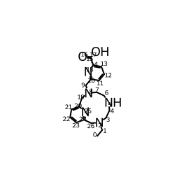 CCN1CCNCCN(Cc2cccc(C(=O)O)n2)Cc2cccc(n2)C1